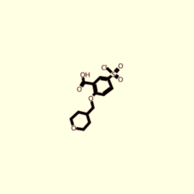 O=C(O)c1cc(S(=O)(=O)Cl)ccc1OCC1CCOCC1